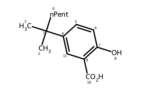 CCCCCC(C)(C)c1ccc(O)c(C(=O)O)c1